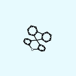 [c]1ccc2c(c1)-c1c[c]ccc1C21c2ccccc2Oc2ccccc21